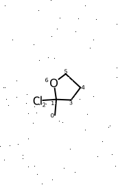 CC1(Cl)CCCO1